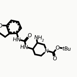 CC(C)(C)OC(=O)N1CCC(NC(=O)Nc2cccc3c2CCO3)C(N)C1